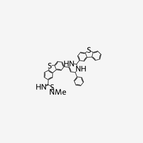 CNSC(=N)c1ccc2sc3ccc(C4=CC(c5ccccc5)NC(c5ccc6sc7ccccc7c6c5)N4)cc3c2c1